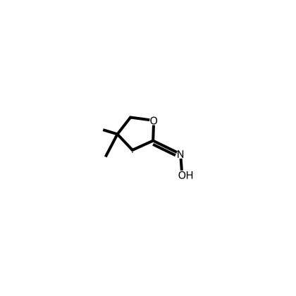 CC1(C)[CH]/C(=N\O)OC1